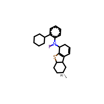 C[C@@H]1CCC2SC3=C(C=CCC3N(I)c3ccccc3C3CCCCC3)C2C1